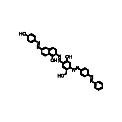 OCc1cc(N=Nc2ccc3cc(N=Nc4ccc(O)cc4)ccc3c2O)c(O)cc1N=Nc1ccc(N=Nc2ccccc2)cc1